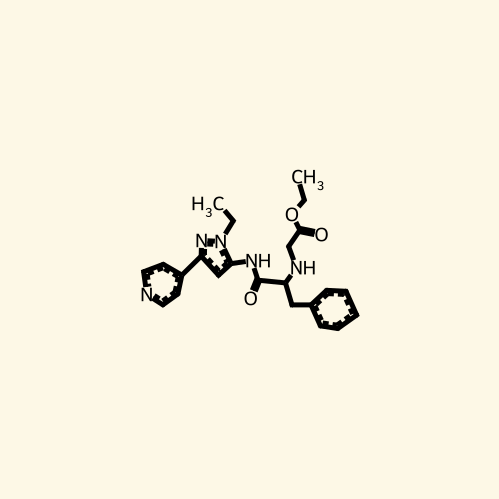 CCOC(=O)CNC(Cc1ccccc1)C(=O)Nc1cc(-c2ccncc2)nn1CC